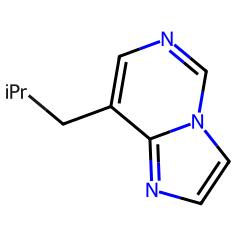 CC(C)Cc1cncn2ccnc12